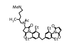 CCc1cc(Cc2cc(CC)c(N3C(=O)CC(N(CC(C)CCCNC)C(C)=O)C3=O)c(CC)c2)cc(CC)c1N1C(=O)C=CC1=O